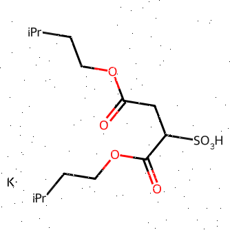 CC(C)CCOC(=O)CC(C(=O)OCCC(C)C)S(=O)(=O)O.[K]